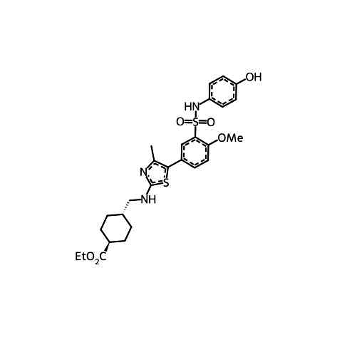 CCOC(=O)[C@H]1CC[C@H](CNc2nc(C)c(-c3ccc(OC)c(S(=O)(=O)Nc4ccc(O)cc4)c3)s2)CC1